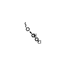 CCCC[C@H]1CC[C@H](C#Cc2ccc(-c3ccc(Cl)cc3)nc2)CC1